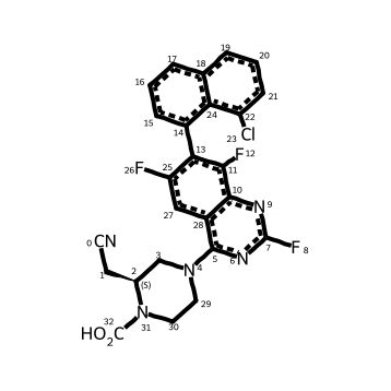 N#CC[C@H]1CN(c2nc(F)nc3c(F)c(-c4cccc5cccc(Cl)c45)c(F)cc23)CCN1C(=O)O